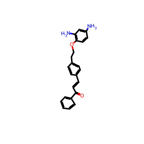 Nc1ccc(OCCc2ccc(/C=C/C(=O)c3ccccc3)cc2)c(N)c1